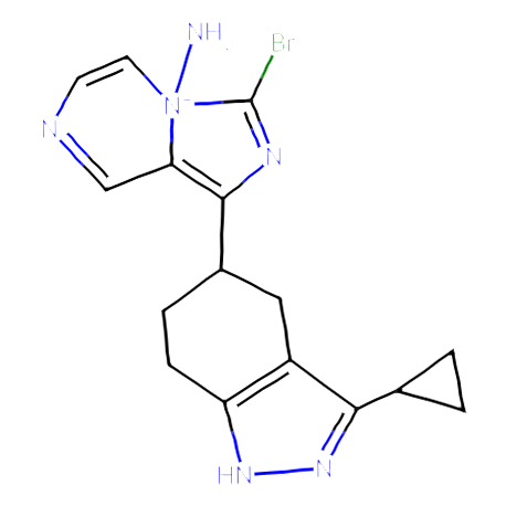 N[N+]12C=CN=CC1=C(C1CCc3[nH]nc(C4CC4)c3C1)N=C2Br